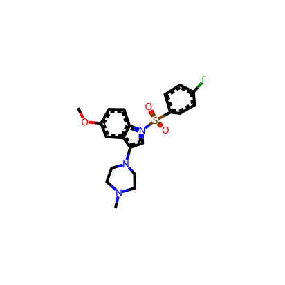 COc1ccc2c(c1)c(N1CCN(C)CC1)cn2S(=O)(=O)c1ccc(F)cc1